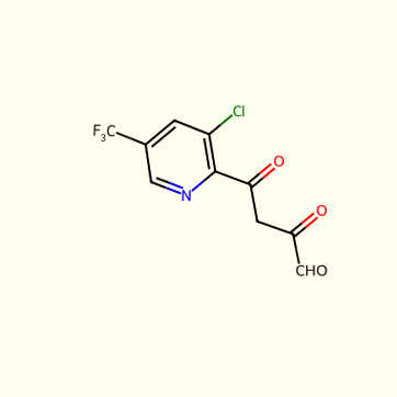 O=CC(=O)CC(=O)c1ncc(C(F)(F)F)cc1Cl